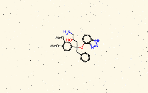 COc1ccc(C(Cc2ccccc2)(C[C@H](O)CN)Oc2cccc3[nH]nnc23)cc1OC